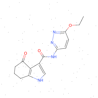 CCOc1ccc(NC(=O)c2c[nH]c3c2C(=O)CCC3)nn1